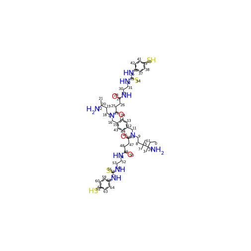 CCC(C)(N)C(C)(C)CCN(Cc1ccc(CN(CCC(C)N)C(=O)CCC(=O)NCCNC(=S)Nc2ccc(S)cc2)cc1)C(=O)CCC(=O)NCCNC(=S)Nc1ccc(S)cc1